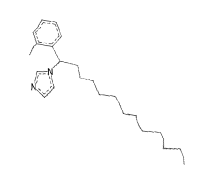 CCCCCCCCCCCCC(c1ccccc1C)n1ccnc1